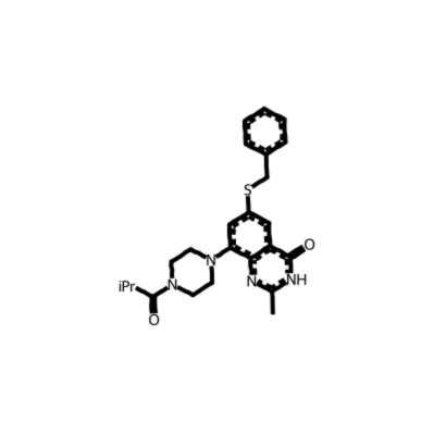 Cc1nc2c(N3CCN(C(=O)C(C)C)CC3)cc(SCc3ccccc3)cc2c(=O)[nH]1